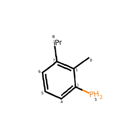 Cc1c(P)cccc1C(C)C